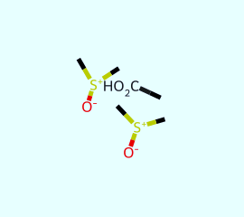 CC(=O)O.C[S+](C)[O-].C[S+](C)[O-]